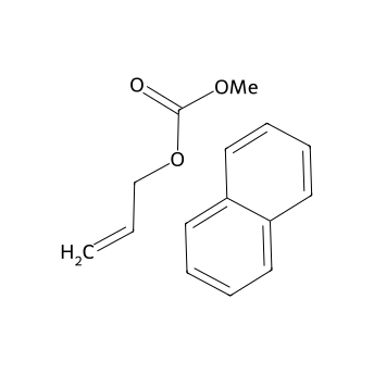 C=CCOC(=O)OC.c1ccc2ccccc2c1